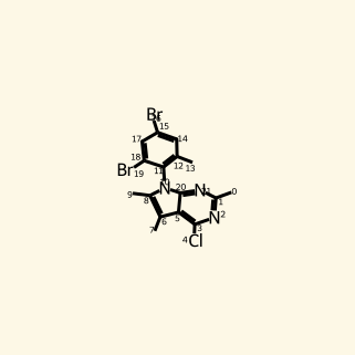 Cc1nc(Cl)c2c(C)c(C)n(-c3c(C)cc(Br)cc3Br)c2n1